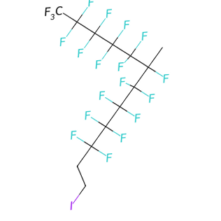 CC(F)(C(F)(F)C(F)(F)C(F)(F)C(F)(F)CCI)C(F)(F)C(F)(F)C(F)(F)C(F)(F)C(F)(F)F